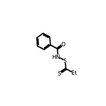 CCC(=S)SNC(=O)c1ccccc1